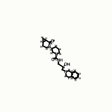 O=C(NC[C@H](O)CN1CCc2ccccc2C1)N1CCC[C@@H](N2CCC3CC3C2=O)C1